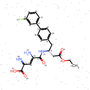 CCOC(=O)C[C@@H](Cc1ccc(-c2cccc(F)c2)cc1)NC(=O)/C(N)=C/C(=N)C(=O)O